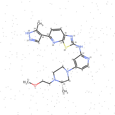 COCCN1CCN(c2ccnc(Nc3nc4ccc(-c5cn[nH]c5C)nc4s3)c2)C[C@@H]1C